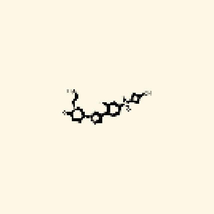 CCCn1cc(-n2cc(-c3ccc(S(=O)(=O)C4CC(O)C4)cc3Cl)cn2)ccc1=O